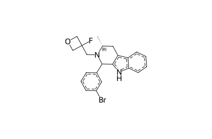 C[C@@H]1Cc2c([nH]c3ccccc23)C(c2cccc(Br)c2)N1CC1(F)COC1